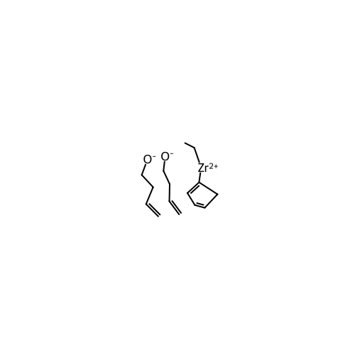 C=CCC[O-].C=CCC[O-].C[CH2][Zr+2][C]1=CC=CC1